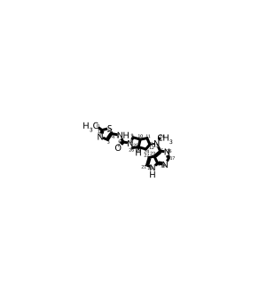 Cc1ncc(NC(=O)N2CC3C[C@@H](N(C)c4ncnc5[nH]ccc45)C[C@@H]3C2)s1